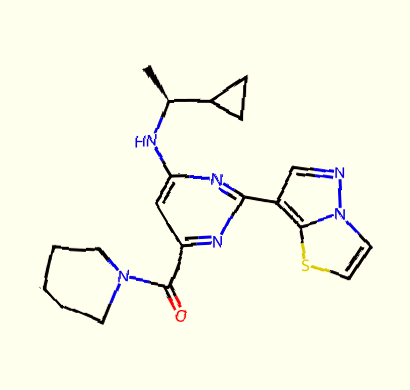 C[C@H](Nc1cc(C(=O)N2CC[CH]CC2)nc(-c2cnn3ccsc23)n1)C1CC1